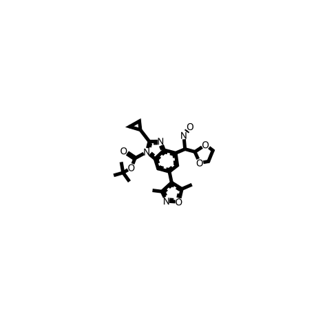 Cc1noc(C)c1-c1cc(C(N=O)C2OCCO2)c2nc(C3CC3)n(C(=O)OC(C)(C)C)c2c1